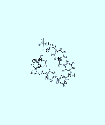 CN(CCCN(C)c1ccc(-c2ccnc(Nc3cccc(CN4CCCN(CC(=O)OC(C)(C)C)CC4)c3)n2)cn1)C(=O)OC(C)(C)C